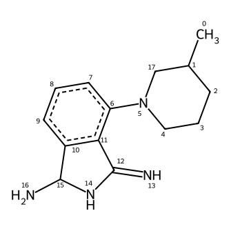 CC1CCCN(c2cccc3c2C(=N)NC3N)C1